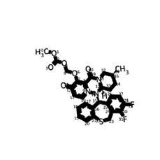 COC(=O)OCOc1c2n(ccc1=O)N([C@@H]1c3ccccc3SCc3c1ccc(F)c3F)[C@@H]1CC[C@@H](C)CN1C2=O